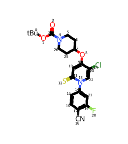 CC(C)(C)OC(=O)N1CCC(Oc2cc(=S)n(-c3ccc(C#N)c(F)c3)cc2Cl)CC1